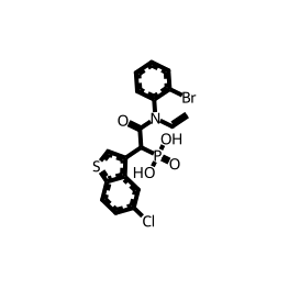 C=CN(C(=O)C(c1csc2ccc(Cl)cc12)P(=O)(O)O)c1ccccc1Br